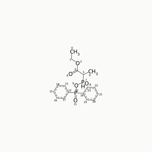 CCOC(=O)C(C)[PH](=O)OP(=O)(c1ccccc1)c1ccccc1